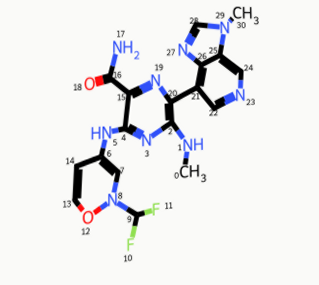 CNc1nc(NC2=CN(C(F)F)OC=C2)c(C(N)=O)nc1-c1cncc2c1ncn2C